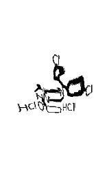 CC(C)[C@@H]1CN(C(c2ccc(Cl)cc2)c2ccc(Cl)cc2)CCN1CC(=O)O.Cl.Cl